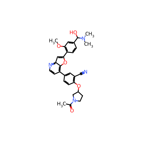 COc1cc(C(O)N(C)C)ccc1-c1cc2nccc(-c3ccc(OC4CCN(C(C)=O)C4)c(C#N)c3)c2o1